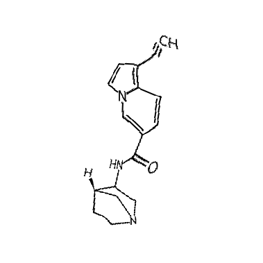 C#Cc1ccn2cc(C(=O)NC3CN4CC[C@H]3C4)ccc12